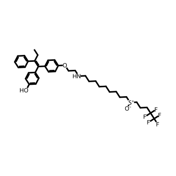 CC/C(=C(/c1ccc(O)cc1)c1ccc(OCCNCCCCCCCCC[S+]([O-])CCCC(F)(F)C(F)(F)F)cc1)c1ccccc1